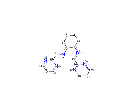 C(=NC1CCCCC1N=Cc1ncccn1)c1ncccn1